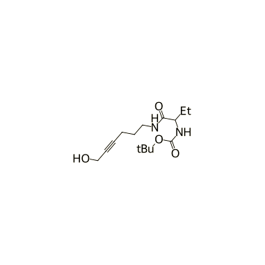 CCC(NC(=O)OC(C)(C)C)C(=O)NCCCC#CCO